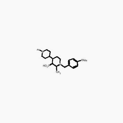 COc1ccc(CN2CCC(C3CCN(C(C)=O)CC3)C(C(=O)O)C2C)cc1